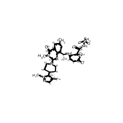 Cc1cc([C@@H](C)Nc2ccc(Cl)nc2C(=O)NS(C)(=O)=O)c2nc(N3CCC(c4c(F)cnn4C)CC3)n(C)c(=O)c2c1